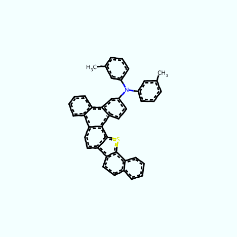 Cc1cccc(N(c2cccc(C)c2)c2ccc3c(c2)c2ccccc2c2ccc4c5ccc6ccccc6c5sc4c23)c1